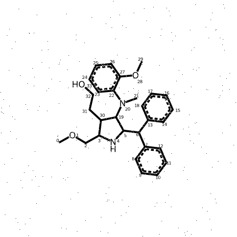 COCC1NC(C(c2ccccc2)c2ccccc2)C(N(C)c2ccccc2OC)C1CCO